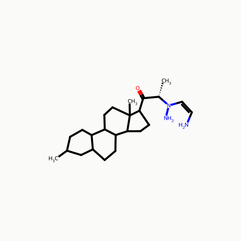 CC1CCC2C(CCC3C2CCC2(C)C(C(=O)[C@H](C)N(N)/C=C\N)CCC32)C1